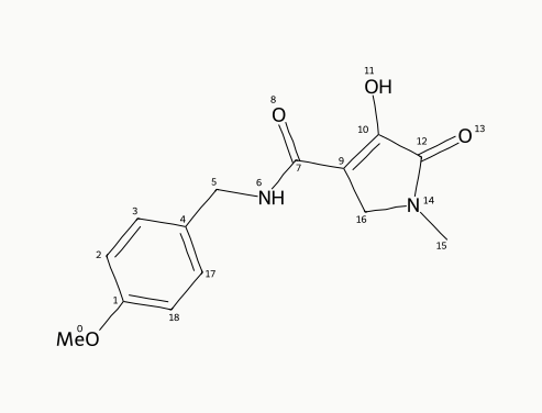 COc1ccc(CNC(=O)C2=C(O)C(=O)N(C)C2)cc1